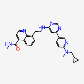 CNC(=O)c1ccnc2c(CCNc3cc(-c4ccc(N(C)CC5CC5)nc4)ncn3)cccc12